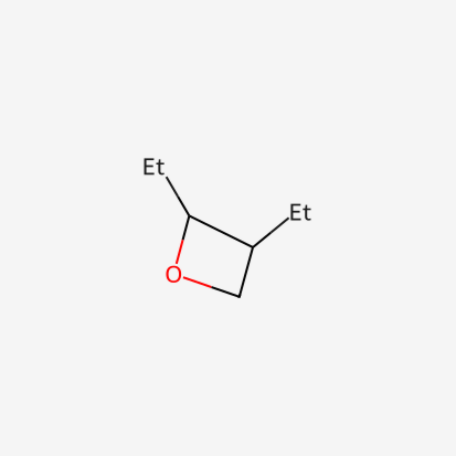 CCC1COC1CC